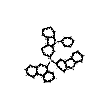 c1ccc(-n2c3ccccc3c3ccc(N(c4ccc5sc6ccccc6c5c4)c4cc5ccccc5c5ccccc45)cc32)cc1